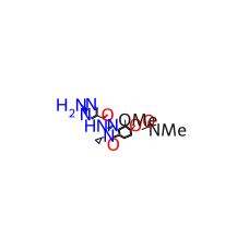 CNC(=O)COc1ccc2c(=O)n(C3CC3)c(NC(=O)c3cnc(N)nc3)nc2c1OC